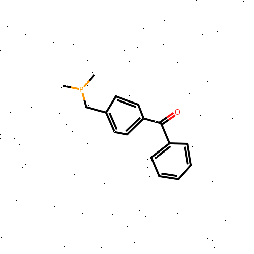 CP(C)Cc1ccc(C(=O)c2ccccc2)cc1